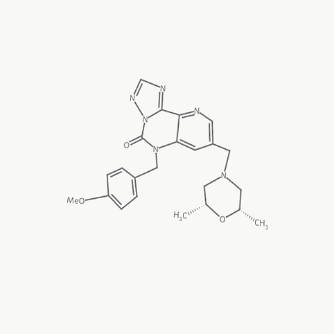 COc1ccc(Cn2c(=O)n3ncnc3c3ncc(CN4C[C@@H](C)O[C@@H](C)C4)cc32)cc1